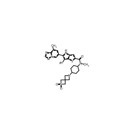 Cc1cc(-c2[nH]c3cc(C(=O)N(C)C4CCC(N5CC6(C5)CS(=O)(=O)C6)CC4)sc3c2C(C)C)cn2ncnc12